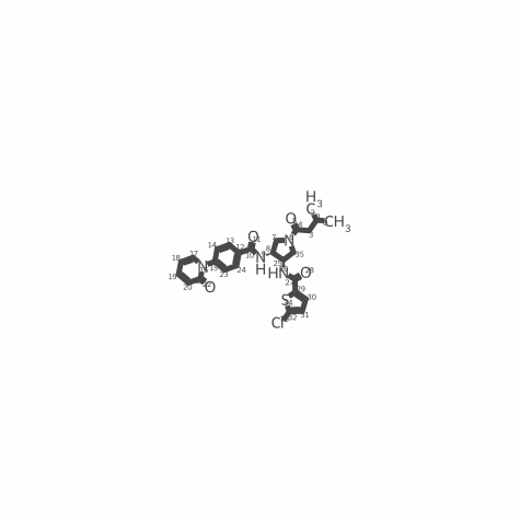 CC(C)CC(=O)N1C[C@@H](NC(=O)c2ccc(-n3ccccc3=O)cc2)[C@H](NC(=O)c2ccc(Cl)s2)C1